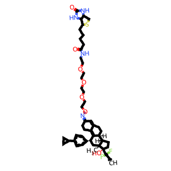 C#CC(F)(F)[C@]1(O)CC[C@H]2[C@@H]3CCC4=CC(=NOCCOCCOCCOCCNC(=O)CCCCC5SCC6NC(=O)NC65)CCC4=C3[C@@H](c3ccc(C4CC4)cc3)C[C@@]21C